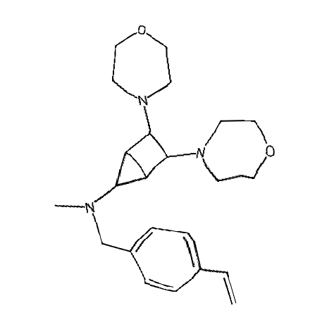 C=Cc1ccc(CN(C)C2C3C2C(N2CCOCC2)C3N2CCOCC2)cc1